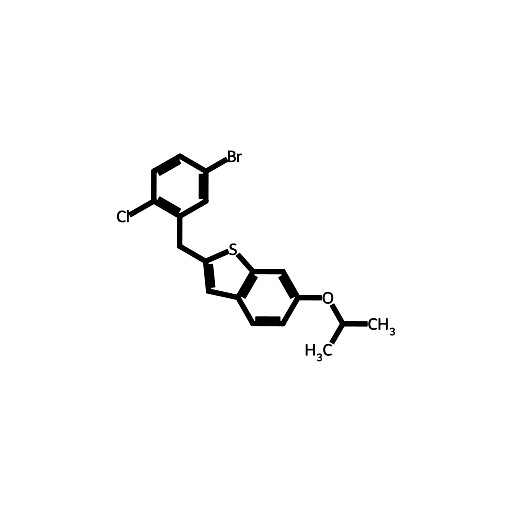 CC(C)Oc1ccc2cc(Cc3cc(Br)ccc3Cl)sc2c1